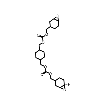 O=C(OCC1CCC(COC(=O)OCC2CC[C@H]3OC3C2)CC1)OCC1CCC2OC2C1